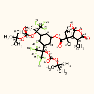 CCC(C)(C(=O)OC1CC(C(C)(OC(=O)OC(C)(C)C)C(F)(F)F)CC(C(OC(=O)OC(C)(C)C)(C(F)(F)F)C(F)(F)F)C1)C1C(=O)OC(=O)C1C